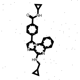 O=C(NC1CC1)c1ccc(-c2cnc3c(NCC4CC4)nc4ccccc4n23)cc1